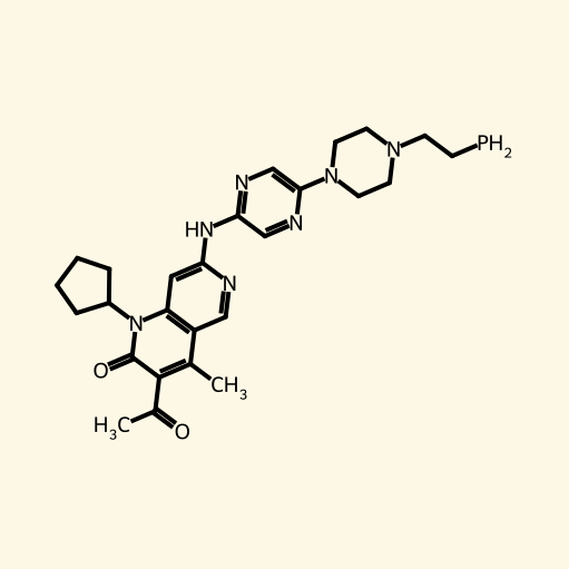 CC(=O)c1c(C)c2cnc(Nc3cnc(N4CCN(CCP)CC4)cn3)cc2n(C2CCCC2)c1=O